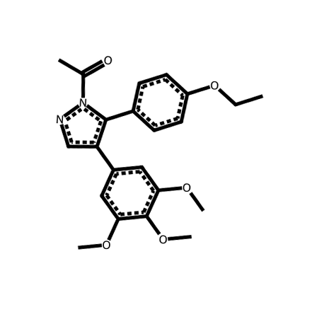 CCOc1ccc(-c2c(-c3cc(OC)c(OC)c(OC)c3)cnn2C(C)=O)cc1